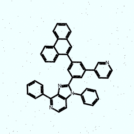 c1ccc(-c2nccc3c2nc(-c2cc(-c4cccnc4)cc(-c4cc5ccccc5c5ccccc45)c2)n3-c2ccccc2)cc1